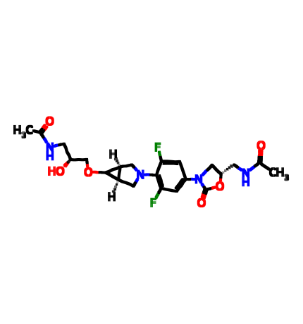 CC(=O)NC[C@H](O)COC1[C@H]2CN(c3c(F)cc(N4C[C@H](CNC(C)=O)OC4=O)cc3F)C[C@@H]12